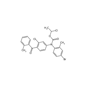 Cc1ccccc1C(=O)c1ccc(N(C(=O)OC(C)Cl)c2ccc(Br)cc2C)cc1Cl